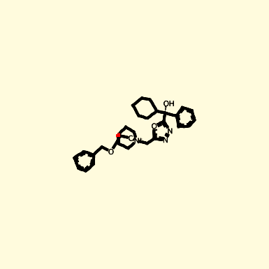 O[C@](c1ccccc1)(c1nnc(C[N+]23CCC(CC2)C(OCc2ccccc2)C3)o1)C1CCCCC1